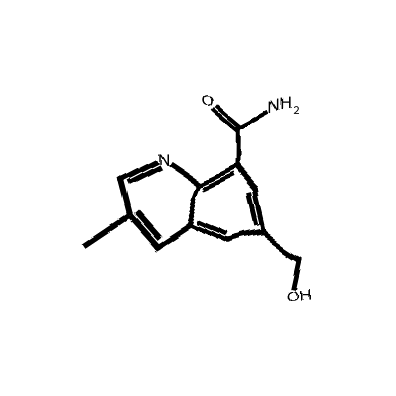 Cc1cnc2c(C(N)=O)cc(CO)cc2c1